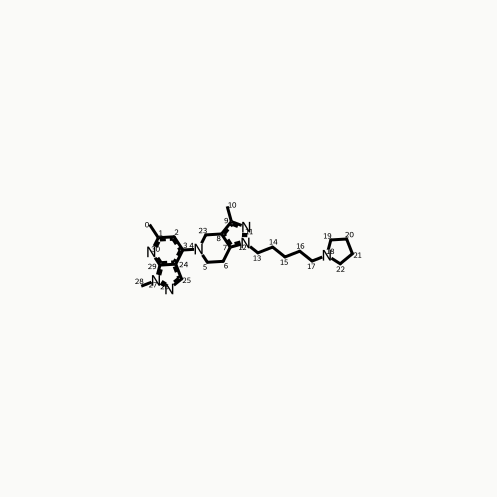 Cc1cc(N2CCc3c(c(C)nn3CCCCCN3CCCC3)C2)c2cnn(C)c2n1